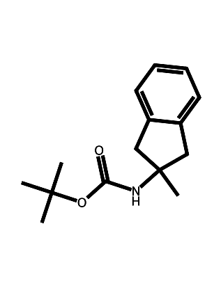 CC1(NC(=O)OC(C)(C)C)Cc2ccccc2C1